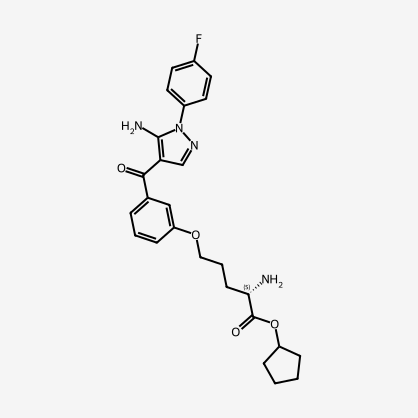 Nc1c(C(=O)c2cccc(OCCC[C@H](N)C(=O)OC3CCCC3)c2)cnn1-c1ccc(F)cc1